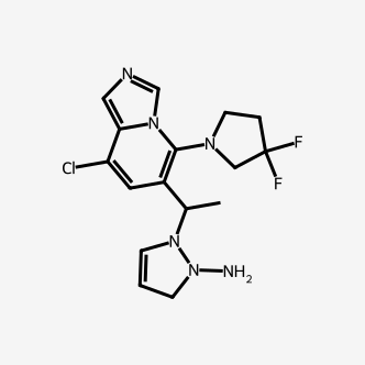 CC(c1cc(Cl)c2cncn2c1N1CCC(F)(F)C1)N1C=CCN1N